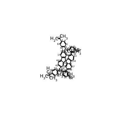 C=C(C)c1ccc(N(c2ccc(Br)cc2)c2ccc3c(c2)C2(c4cc(N(c5ccc(Br)cc5)c5ccc(C(C)(C)C)cc5)ccc4-3)c3cc(C(C)(C)C)ccc3-c3ccc(C(C)(C)C)cc32)cc1